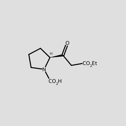 CCOC(=O)CC(=O)[C@@H]1CCCN1C(=O)O